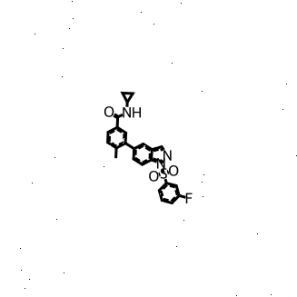 Cc1ccc(C(=O)NC2CC2)cc1-c1ccc2c(cnn2S(=O)(=O)c2cccc(F)c2)c1